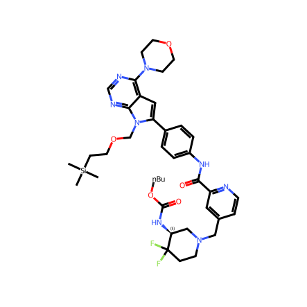 CCCCOC(=O)N[C@H]1CN(Cc2ccnc(C(=O)Nc3ccc(-c4cc5c(N6CCOCC6)ncnc5n4COCC[Si](C)(C)C)cc3)c2)CCC1(F)F